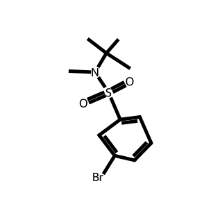 CN(C(C)(C)C)S(=O)(=O)c1cccc(Br)c1